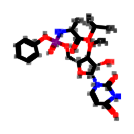 COC1[C@@H](COP(=O)(N[C@@H](C)C(=O)OC(C)C)Oc2ccccc2)O[C@@H](n2ccc(=O)[nH]c2=O)[C@H]1O